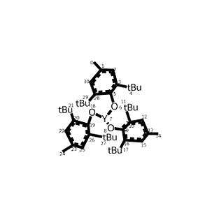 Cc1cc(C(C)(C)C)c([O][Y]([O]c2c(C(C)(C)C)cc(C)cc2C(C)(C)C)[O]c2c(C(C)(C)C)cc(C)cc2C(C)(C)C)c(C(C)(C)C)c1